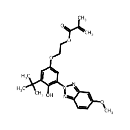 C=C(C)C(=O)OCCOc1cc(-n2nc3ccc(OC)cc3n2)c(O)c(C(C)(C)C)c1